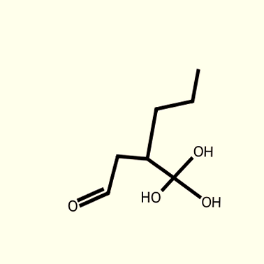 CCCC(CC=O)C(O)(O)O